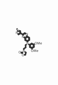 COc1cc(OC)cc(N(CCCN2CCOC2=O)c2ccc3ncc(-c4cnn(C)c4)nc3c2)c1